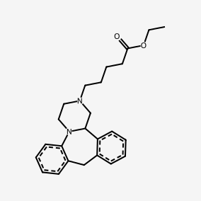 CCOC(=O)CCCCN1CCN2c3ccccc3Cc3ccccc3C2C1